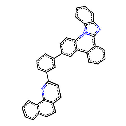 c1cc(-c2ccc3c(c2)c2ccccc2c2nc4ccccc4n32)cc(-c2ccc3ccc4ccccc4c3n2)c1